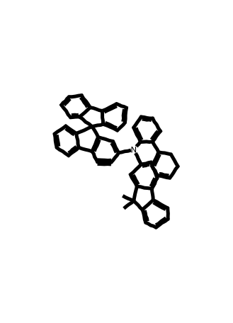 CC1(C)c2ccccc2-c2ccc(N(c3c#cc4c(c3)C3(c5ccccc5-4)c4ccccc4-c4ccccc43)c3ccccc3C3=CC=CCC3)cc21